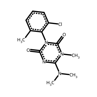 Cc1cccc(Cl)c1-n1c(=O)nc(N(C)C)n(C)c1=O